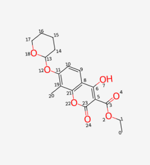 CCOC(=O)c1c(O)c2ccc(OC3CCCCO3)c(C)c2oc1=O